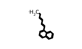 [CH2]CC=CC=Cc1cccc2ccccc12